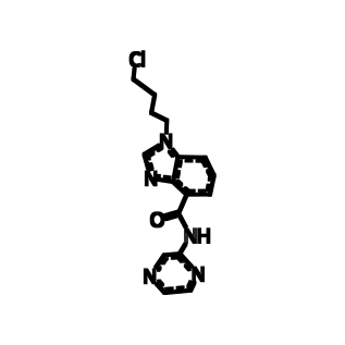 O=C(Nc1cnccn1)c1cccc2c1ncn2CCCCCl